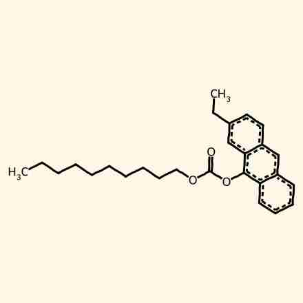 CCCCCCCCCCOC(=O)Oc1c2ccccc2cc2ccc(CC)cc12